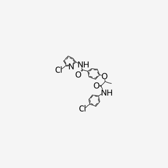 CC(Oc1ccc(C(=O)Nc2cccc(Cl)n2)cc1)C(=O)Nc1ccc(Cl)cc1